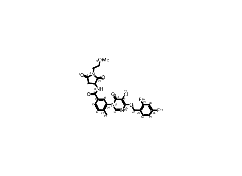 COCCN1C(=O)CC(NC(=O)c2ccc(C)c(-n3cnc(OCc4ccc(F)cc4F)c(Cl)c3=O)c2)C1=O